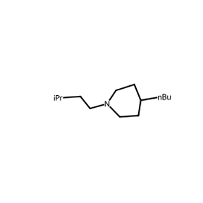 CCCCC1CCN(CCC(C)C)CC1